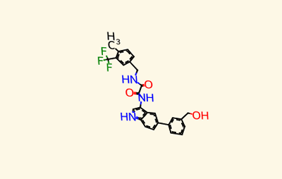 Cc1ccc(CNC(=O)C(=O)Nc2c[nH]c3ccc(-c4cccc(CO)c4)cc23)cc1C(F)(F)F